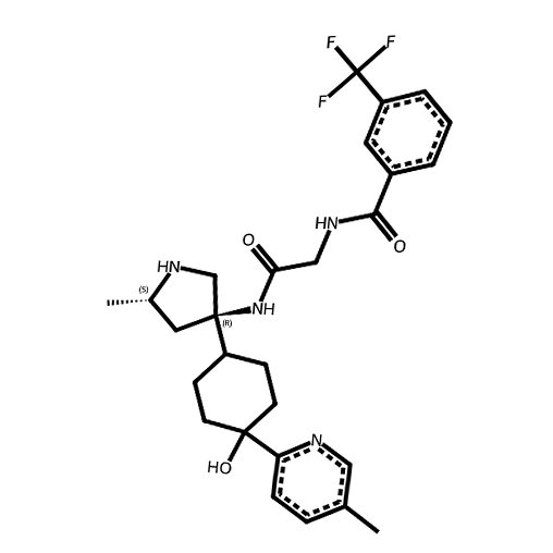 Cc1ccc(C2(O)CCC([C@@]3(NC(=O)CNC(=O)c4cccc(C(F)(F)F)c4)CN[C@@H](C)C3)CC2)nc1